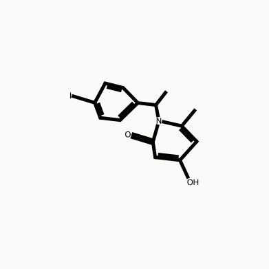 Cc1cc(O)cc(=O)n1C(C)c1ccc(I)cc1